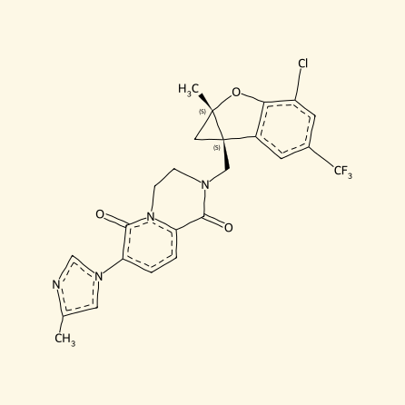 Cc1cn(-c2ccc3n(c2=O)CCN(C[C@@]24C[C@]2(C)Oc2c(Cl)cc(C(F)(F)F)cc24)C3=O)cn1